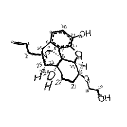 C=CCN1CC[C@]23c4c5ccc(O)c4O[C@H]2[C@@H](OCCO)CC[C@@]3(O)[C@H]1C5